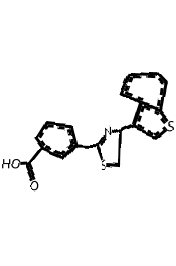 O=C(O)c1cccc(C2=NC(c3csc4ccccc34)CS2)c1